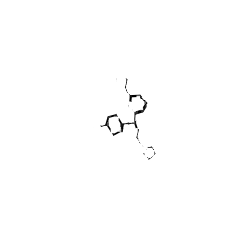 CCCc1cccc(/C(=C/CN2CCCC2)c2ccc(C)cc2)n1